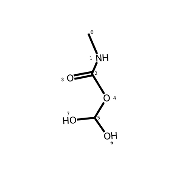 CNC(=O)OC(O)O